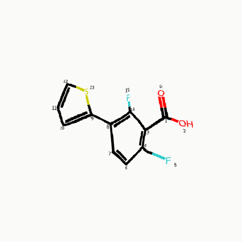 O=C(O)c1c(F)ccc(-c2cccs2)c1F